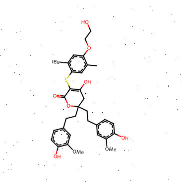 COc1cc(CCC2(CCc3ccc(O)c(OC)c3)CC(O)=C(Sc3cc(C)c(OCCO)cc3C(C)(C)C)C(=O)O2)ccc1O